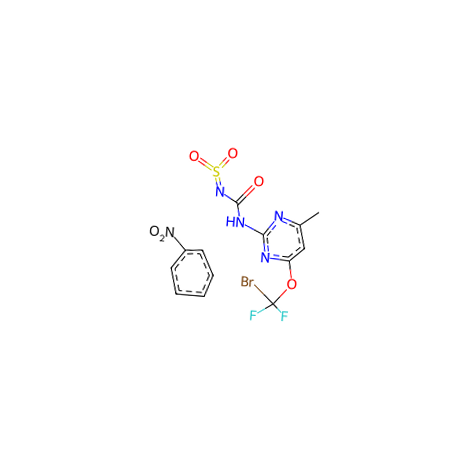 Cc1cc(OC(F)(F)Br)nc(NC(=O)N=S(=O)=O)n1.O=[N+]([O-])c1ccccc1